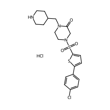 Cl.O=C1CN(S(=O)(=O)c2ccc(-c3ccc(Cl)cc3)s2)CCN1CC1CCNCC1